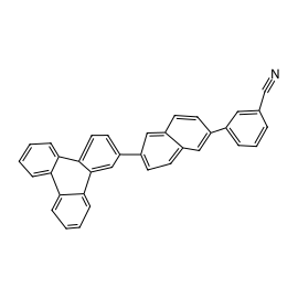 N#Cc1cccc(-c2ccc3cc(-c4ccc5c6ccccc6c6ccccc6c5c4)ccc3c2)c1